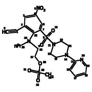 C#Cc1cc([N+](=O)[O-])cc(S(=O)(=O)N2CCN(c3ccccn3)CC2)c1N(CCC)CCOS(C)(=O)=O